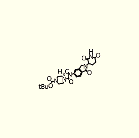 CN(C(=O)N1CCN(C(=O)OC(C)(C)C)CC1)c1ccc2c(c1)CN(C1CCC(=O)NC1=O)C2=O